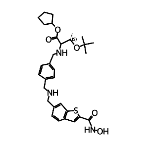 C[C@H](OC(C)(C)C)C(NCc1ccc(CNCc2ccc3cc(C(=O)NO)sc3c2)cc1)C(=O)OC1CCCC1